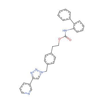 O=C(Nc1ccccc1-c1ccccc1)OCCc1ccc(Cn2cc(-c3cccnc3)nn2)cc1